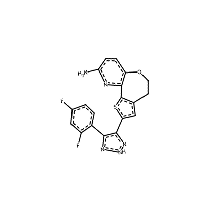 Nc1ccc2c(n1)-c1sc(-c3n[nH]nc3-c3ccc(F)cc3F)cc1CCO2